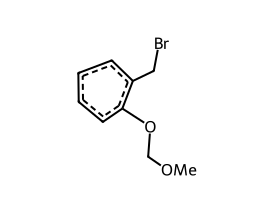 COCOc1ccccc1CBr